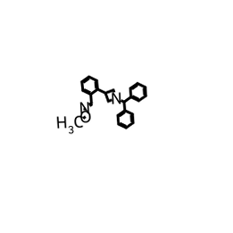 CON=Cc1ccccc1C1CN(C(c2ccccc2)c2ccccc2)C1